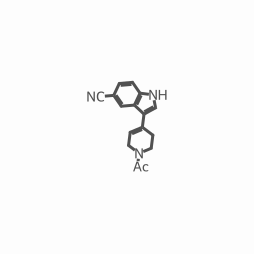 CC(=O)N1CC=C(c2c[nH]c3ccc(C#N)cc23)CC1